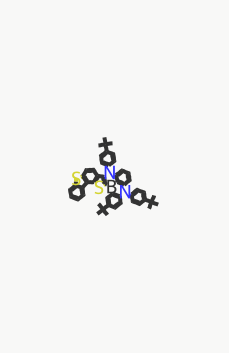 CC(C)(C)c1ccc(N2c3ccc(C(C)(C)C)cc3B3c4sc5c(ccc6sc7ccccc7c65)c4N(c4ccc(C(C)(C)C)cc4)c4cccc2c43)cc1